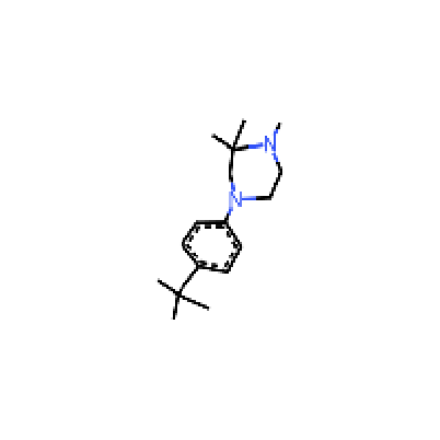 CN1CCN(c2ccc(C(C)(C)C)cc2)CC1(C)C